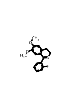 COc1cc2c(cc1OC)C(c1ccccc1F)=NCC2